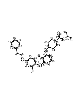 Cc1nc(OCCc2ccccn2)ccc1Oc1ncnc(OC2CCN(C(=O)OC(C)C)CC2)c1C